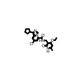 CCOc1cc(C)[nH]c(=O)c1CNC(=O)c1cc(Cl)cc2c(C3CCCC3)ncn12